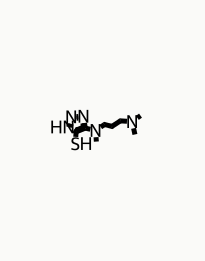 CN(C)CCCN(C)c1nn[nH]c1S